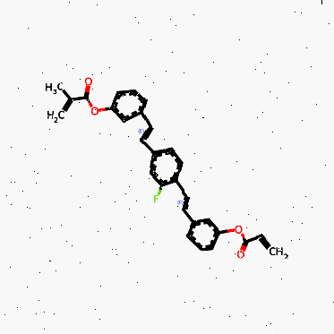 C=CC(=O)Oc1cccc(/C=C/c2ccc(/C=C/c3cccc(OC(=O)C(=C)C)c3)cc2F)c1